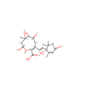 CC1=CC(=O)CC(C)(C)C1(O)C=C/C1=C(\C(=O)O)OC(=O)CC(C)(O)CC(=O)C1